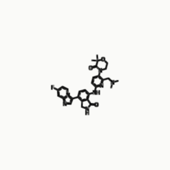 CN(C)Cc1nc(Nc2ccc(-c3cnc4cc(F)ccn34)c3c2C(=O)NC3)ccc1N1CCOC(C)(C)C1=O